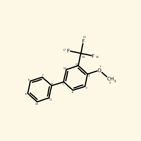 COc1ccc(-c2[c]cccc2)cc1C(F)(F)F